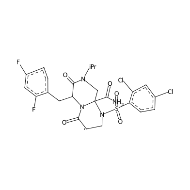 CC(C)N1CC2(C(N)=O)N(C(=O)[C]CN2S(=O)(=O)c2ccc(Cl)cc2Cl)C(Cc2ccc(F)cc2F)C1=O